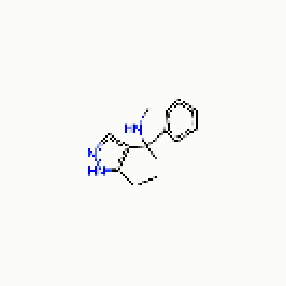 CNC1(c2ccccc2)CCCc2[nH]ncc21